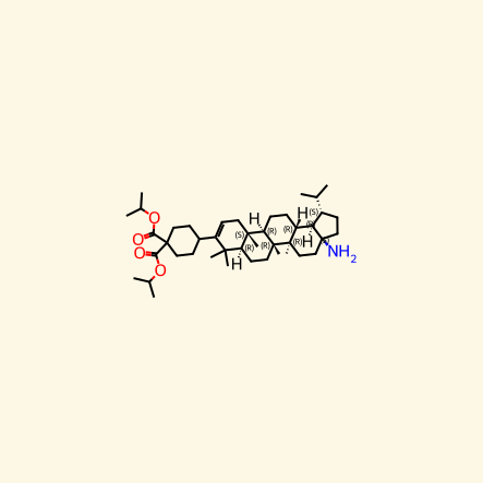 CC(C)OC(=O)C1(C(=O)OC(C)C)CCC(C2=CC[C@]3(C)[C@H]4CC[C@@H]5[C@H]6[C@H](C(C)C)CC[C@]6(N)CC[C@@]5(C)[C@]4(C)CC[C@H]3C2(C)C)CC1